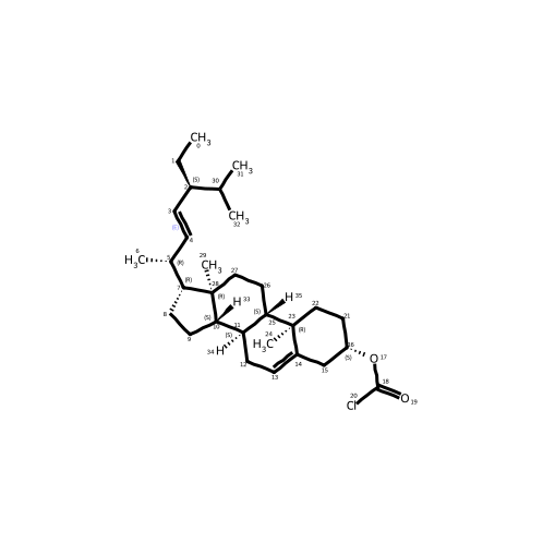 CC[C@H](/C=C/[C@@H](C)[C@H]1CC[C@H]2[C@@H]3CC=C4C[C@@H](OC(=O)Cl)CC[C@]4(C)[C@H]3CC[C@]12C)C(C)C